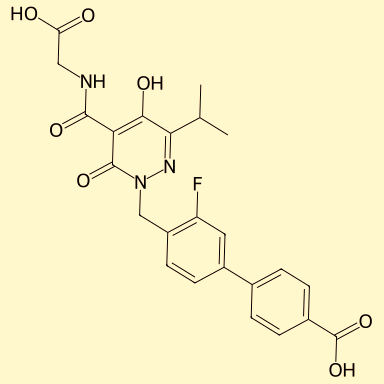 CC(C)c1nn(Cc2ccc(-c3ccc(C(=O)O)cc3)cc2F)c(=O)c(C(=O)NCC(=O)O)c1O